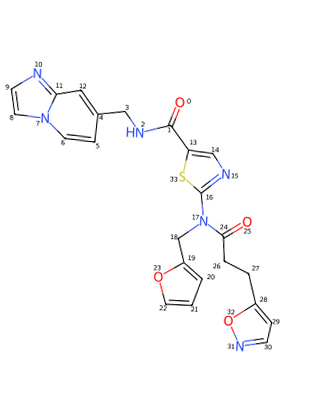 O=C(NCc1ccn2ccnc2c1)c1cnc(N(Cc2ccco2)C(=O)CCc2ccno2)s1